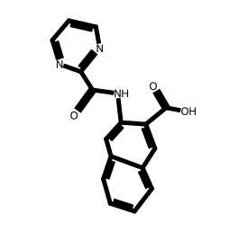 O=C(Nc1cc2ccccc2cc1C(=O)O)c1ncccn1